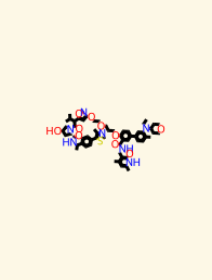 CCN(c1cc(-c2ccc(OCCCOCCOc3cc(C(C(=O)N4C[C@H](O)C[C@H]4C(=O)NC(C)c4ccc(-c5scnc5C)cc4)C(C)C)on3)c(C(=O)NCc3c(C)cc(C)[nH]c3=O)c2)ccc1C)C1CCOCC1